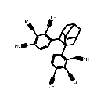 C#Cc1ccc(C2C3CC4CC(C3)CC2(c2ccc(C#C)c(C#C)c2C#C)C4)c(C#C)c1C#C